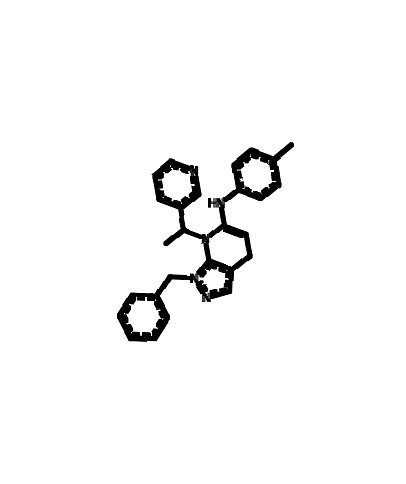 Cc1ccc(NC2=CCc3cnn(Cc4ccccc4)c3N2C(C)c2cccnc2)cc1